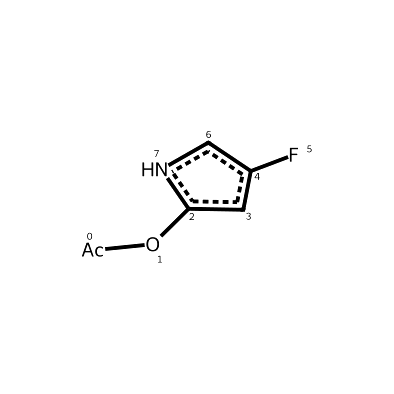 CC(=O)Oc1cc(F)c[nH]1